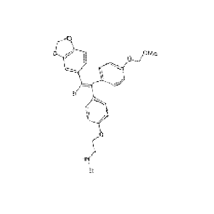 CCNCCOc1ccc(C(=C(CC)c2ccc3c(c2)OCO3)c2ccc(OCOC)cc2)cc1